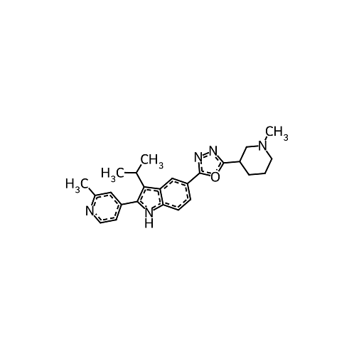 Cc1cc(-c2[nH]c3ccc(-c4nnc(C5CCCN(C)C5)o4)cc3c2C(C)C)ccn1